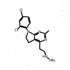 CCCCNCCc1nc(C)nc2c1CCN2c1ccc(Cl)cc1Cl